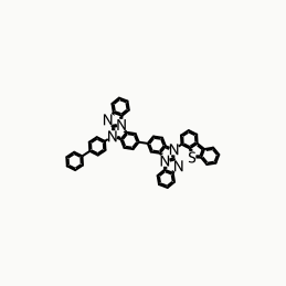 c1ccc(-c2ccc(-n3c4ccc(-c5ccc6c(c5)n5c7ccccc7nc5n6-c5cccc6c5sc5ccccc56)cc4n4c5ccccc5nc34)cc2)cc1